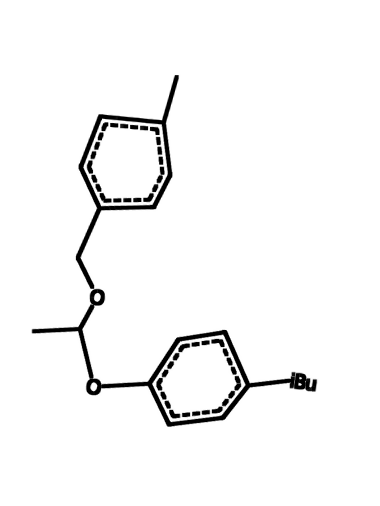 CCC(C)c1ccc(OC(C)OCc2ccc(C)cc2)cc1